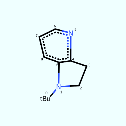 CC(C)(C)N1CCc2ncccc21